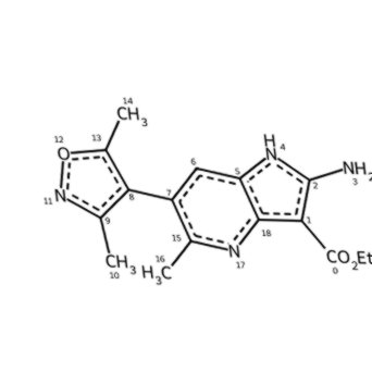 CCOC(=O)c1c(N)[nH]c2cc(-c3c(C)noc3C)c(C)nc12